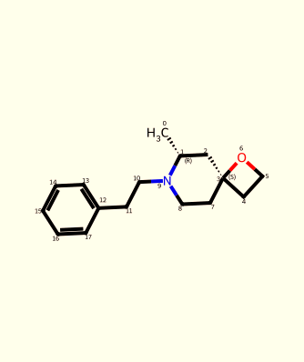 C[C@@H]1C[C@]2(CCO2)CCN1CCc1ccccc1